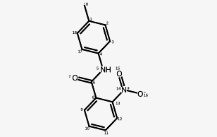 [CH2]c1ccc(NC(=O)c2ccccc2[N+](=O)[O-])cc1